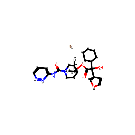 O=C(O[C@H]1C[N+]2(C(=O)Nc3cccnn3)CCC1CC2)C(O)(c1ccoc1)C1CCCCC1.[Br-]